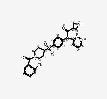 O=C(c1ccccc1Cl)N1CCC(S(=O)(=O)c2ccc(N(C(=O)C3CNC3)c3cccnn3)cc2)CC1